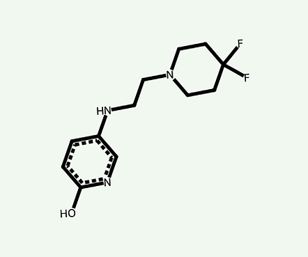 Oc1ccc(NCCN2CCC(F)(F)CC2)cn1